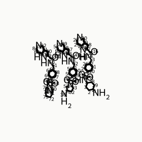 NC1CCC(NS(=O)(=O)c2ccc(CNC(=O)c3cc4cnccc4[nH]3)cc2)CC1.NC1CCN(S(=O)(=O)c2ccc(CNC(=O)c3cc4cnccc4[nH]3)cc2)C1.O=C(NCc1ccc(S(=O)(=O)N2CC3CCC(C2)N3)cc1)c1cc2cnccc2[nH]1